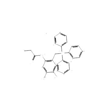 CCC(=O)Nc1cc(Cl)c(Br)cc1C[P+](c1ccccc1)(c1ccccc1)c1ccccc1.[Br-]